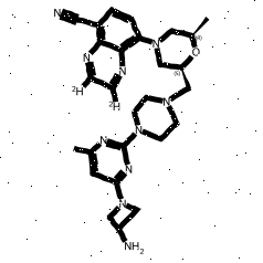 [2H]c1nc2c(C#N)ccc(N3C[C@H](CN4CCN(c5nc(C)cc(N6CC(N)C6)n5)CC4)O[C@H](C)C3)c2nc1[2H]